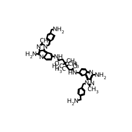 Cc1nc2c(N)nc3ccc(NC(=O)CC(C)(C)C(C)(C)CC(=O)Nc4ccc5nc(N)c6nc(C)n(Cc7ccc(CN)cc7)c6c5c4)cc3c2n1Cc1ccc(CN)cc1